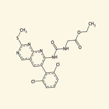 CCOC(=O)CNC(=O)Nc1nc2nc(SC)ncc2cc1-c1c(Cl)cccc1Cl